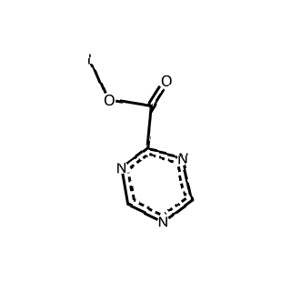 O=C(OI)c1ncncn1